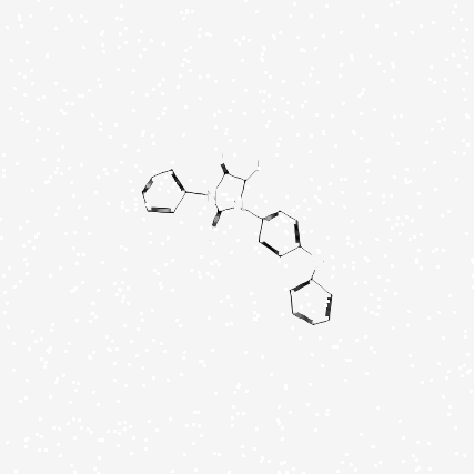 CCC1C(=O)N(c2ccccc2)C(=S)N1c1ccc(Oc2ccccc2)cc1